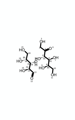 O=C(CO)[C@@H](O)[C@@H](O)[C@H](O)CO.O=C[C@@H](O)[C@@H](O)[C@H](O)CO